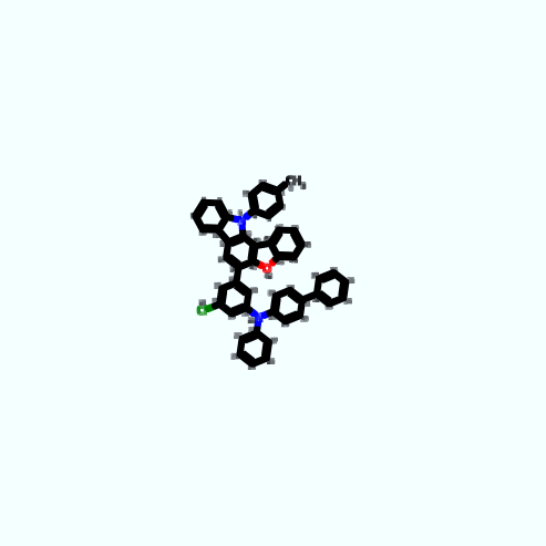 Cc1ccc(-n2c3ccccc3c3cc(-c4cc(Cl)cc(N(c5ccccc5)c5ccc(-c6ccccc6)cc5)c4)c4oc5ccccc5c4c32)cc1